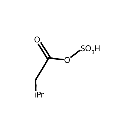 CC(C)CC(=O)OS(=O)(=O)O